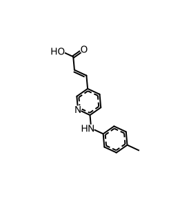 Cc1ccc(Nc2ccc(/C=C/C(=O)O)cn2)cc1